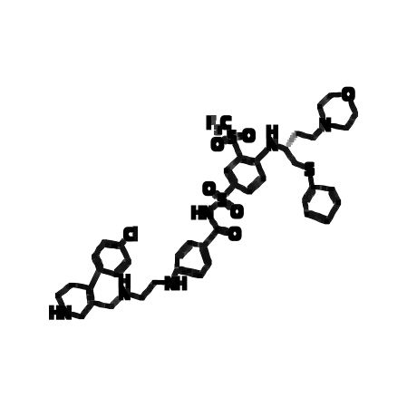 O=C(NS(=O)(=O)c1ccc(N[C@H](CCN2CCOCC2)CSc2ccccc2)c(S(=O)(=O)C(F)(F)F)c1)c1ccc(NCCNCC2=C(c3ccc(Cl)cc3)CCNC2)cc1